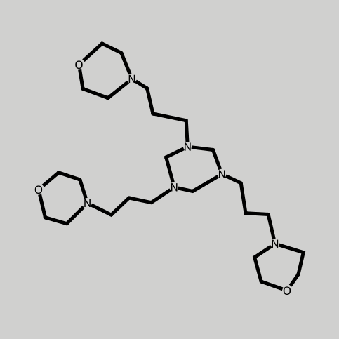 C(CN1CCOCC1)CN1CN(CCCN2CCOCC2)CN(CCCN2CCOCC2)C1